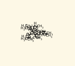 CC(=O)N[C@@H](CC(=O)OC(C)(C)C)C(=O)N[C@@H](CCC(=O)OC(C)(C)C)C(=O)N[C@H](C(=O)N[C@@H](CC(=O)OC(C)(C)C)C(=O)O)C(C)C